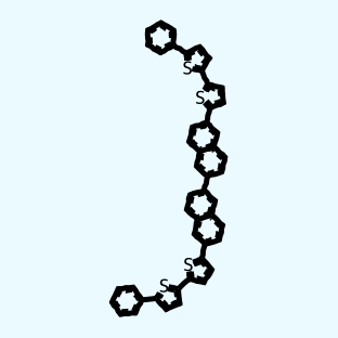 c1ccc(-c2ccc(-c3ccc(-c4ccc5cc(-c6ccc7cc(-c8ccc(-c9ccc(-c%10ccccc%10)s9)s8)ccc7c6)ccc5c4)s3)s2)cc1